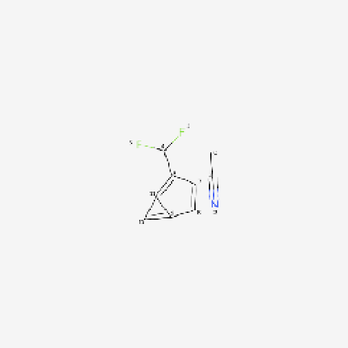 CC#N.FC(F)c1ccc2cc1-2